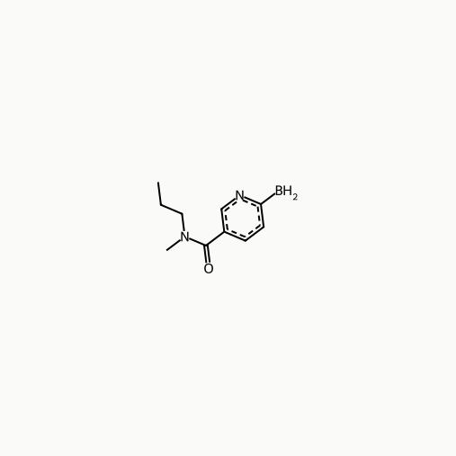 Bc1ccc(C(=O)N(C)CCC)cn1